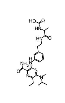 CCc1nc(C(N)=O)c(Nc2cccc(CCNC(=O)C(C)NC(=O)O)c2)nc1N(C)C(C)C